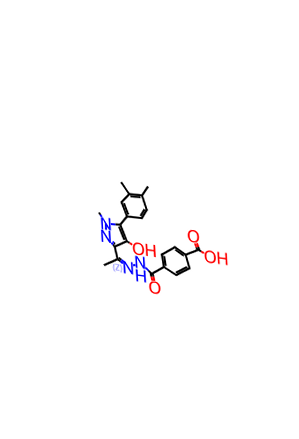 C/C(=N/NC(=O)c1ccc(C(=O)O)cc1)c1nn(C)c(-c2ccc(C)c(C)c2)c1O